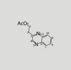 CC(=O)OCCc1cnc2ccccc2n1